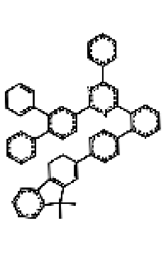 CC1(C)C2=C(CCC(c3ccc(-c4ccccc4-c4cc(-c5ccccc5)nc(-c5ccc(-c6ccccc6)c(C6=CCCC=C6)c5)n4)cc3)=C2)c2ccccc21